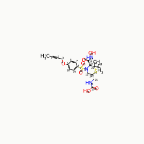 CC#CCOc1ccc(S(=O)(=O)N2C[C@@H](CNC(=O)O)SC(C)(C)[C@@H]2C(=O)NO)cc1